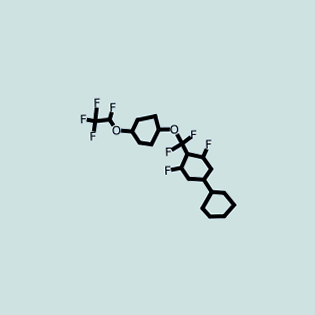 FC1CC(C2CCCCC2)CC(F)C1C(F)(F)OC1CCC(OC(F)C(F)(F)F)CC1